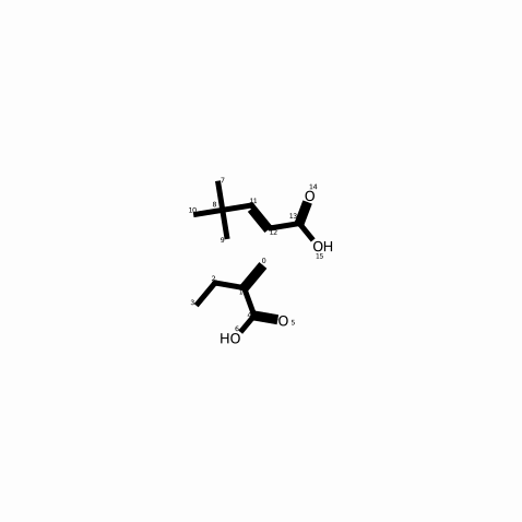 C=C(CC)C(=O)O.CC(C)(C)C=CC(=O)O